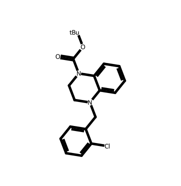 CC(C)(C)OC(=O)N1CCN(Cc2ccccc2Cl)c2ccccc21